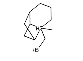 C[SH]12(CS)CCCC3CC1CC32